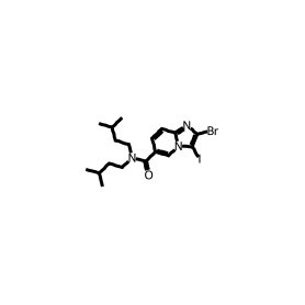 CC(C)CCN(CCC(C)C)C(=O)c1ccc2nc(Br)c(I)n2c1